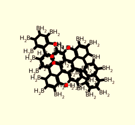 BC1=C(B)C(B)C(B)C(B)=C1c1c(B)c(B)c(C2C(c3c4c(B)c(B)c(B)c(B)c4c(C4=C(B)C(B)=C(B)C5Bc6c(c(B)c7c(B)c(B)c(B)c(B)c7c6B)C45)c4c(B)c(B)c(B)c(B)c34)=C(B)C(B)=C(B)C2B)c(B)c1B